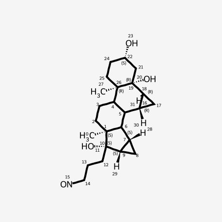 C[C@]12CCC3C(C1[C@@H]1C[C@@H]1[C@@]2(O)CCCN=O)[C@H]1C[C@H]1[C@]1(O)C[C@@H](O)CC[C@]31C